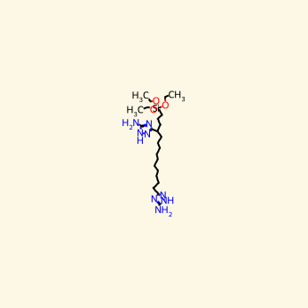 CCO[Si](CCCC(CCCCCCCCCCc1n[nH]c(N)n1)c1n[nH]c(N)n1)(OCC)OCC